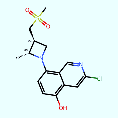 C[C@@H]1[C@@H](CS(C)(=O)=O)CN1c1ccc(O)c2cc(Cl)ncc12